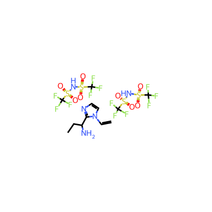 C=Cn1ccnc1C(N)CC.O=S(=O)(NS(=O)(=O)C(F)(F)F)C(F)(F)F.O=S(=O)(NS(=O)(=O)C(F)(F)F)C(F)(F)F